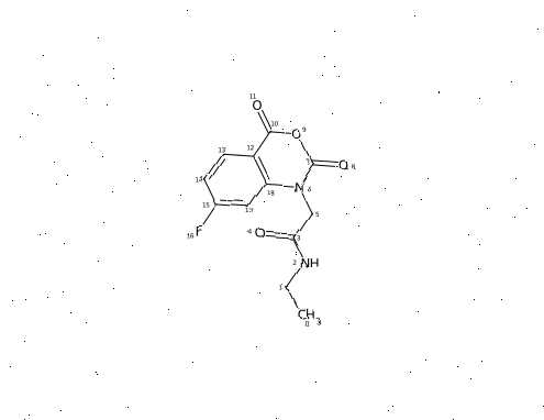 CCNC(=O)Cn1c(=O)oc(=O)c2ccc(F)cc21